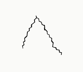 [CH2]C(CCCCCCCCCCCCCC)CCCCCCCCCCCCCCCCCCCC